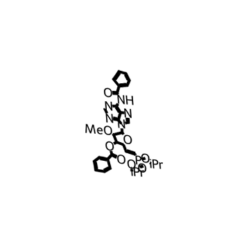 COC1C(OC(=O)c2ccccc2)C(C=CP(=O)(OC(C)C)OC(C)C)OC1n1cnc2c(NC(=O)c3ccccc3)ncnc21